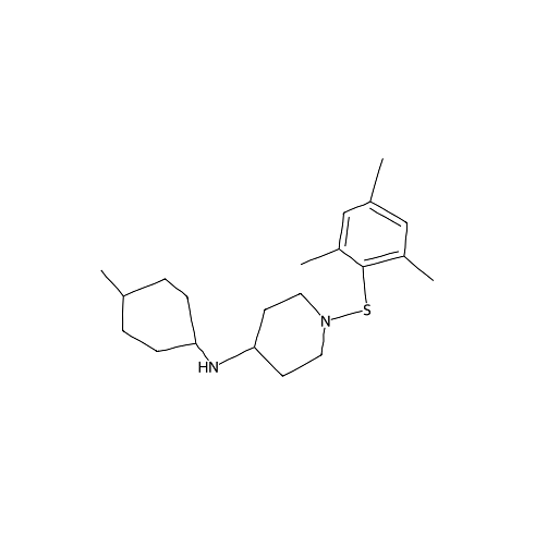 Cc1cc(C)c(SN2CCC(NC3CCC(C)CC3)CC2)c(C)c1